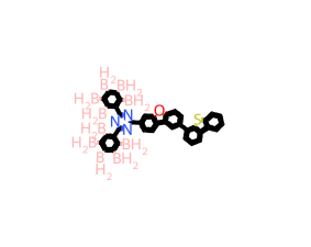 Bc1c(B)c(B)c(-c2nc(-c3ccc4c(c3)oc3ccc(-c5cccc6c5sc5ccccc56)cc34)nc(-c3c(B)c(B)c(B)c(B)c3B)n2)c(B)c1B